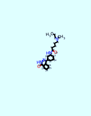 CCCN(C)CCCCC(=O)Nc1cccc(-c2n[nH]c(=O)c3ccccc23)c1